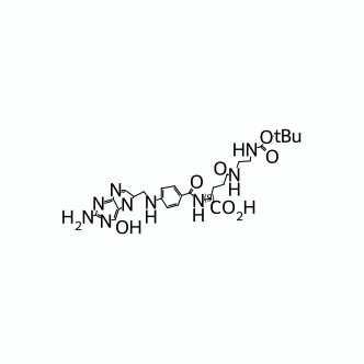 CC(C)(C)OC(=O)NCCNC(=O)CC[C@H](NC(=O)c1ccc(NCc2cnc3nc(N)nc(O)c3n2)cc1)C(=O)O